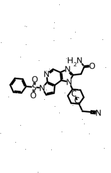 N#CCC12CCC(n3c(CC(N)=O)nc4cnc5c(ccn5S(=O)(=O)c5ccccc5)c43)(CC1)CC2